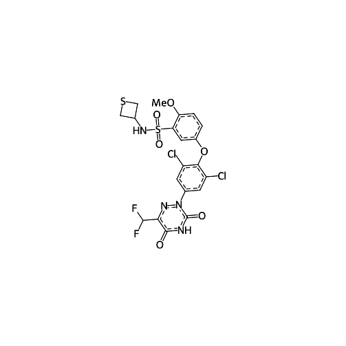 COc1ccc(Oc2c(Cl)cc(-n3nc(C(F)F)c(=O)[nH]c3=O)cc2Cl)cc1S(=O)(=O)NC1CSC1